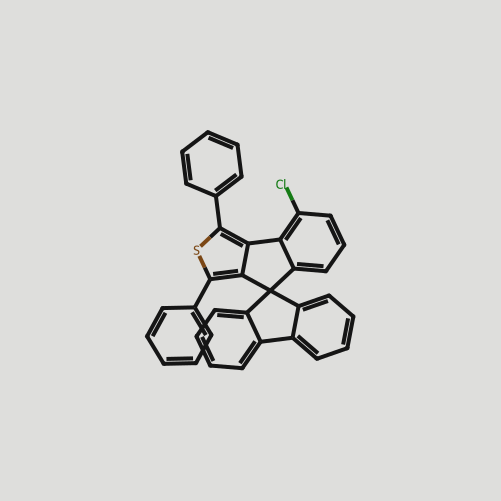 Clc1cccc2c1-c1c(-c3ccccc3)sc(-c3ccccc3)c1C21c2ccccc2-c2ccccc21